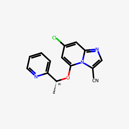 C[C@@H](Oc1cc(Cl)cc2ncc(C#N)n12)c1ccccn1